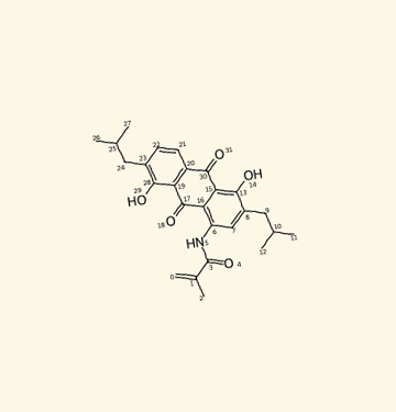 C=C(C)C(=O)Nc1cc(CC(C)C)c(O)c2c1C(=O)c1c(ccc(CC(C)C)c1O)C2=O